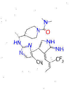 C/C=C(\C=C1/C(=N)NC=C1c1nc(NC(C)C2CCN(C(=O)N(C)C)CC2)ncc1C#N)C(F)(F)F